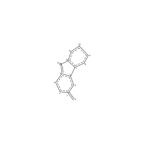 C=c1ccc2c(c1)-c1ccccc1N=2